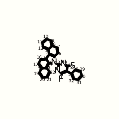 Fc1nc(-n2c3ccc4ccccc4c3c3ccc4ccccc4c32)nc2sc3ccccc3c12